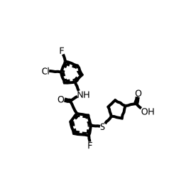 O=C(Nc1ccc(F)c(Cl)c1)c1ccc(F)c(SC2CCC(C(=O)O)C2)c1